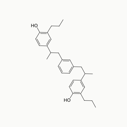 CCCc1cc(C(C)Cc2cccc(CC(C)c3ccc(O)c(CCC)c3)c2)ccc1O